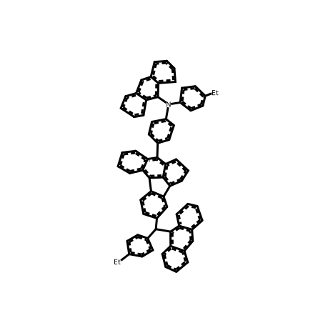 CCc1ccc(C(c2ccc3c(c2)-c2cccc4c(-c5ccc(N(c6ccc(CC)cc6)c6c7ccccc7cc7ccccc67)cc5)c5ccccc5c-3c24)c2c3ccccc3cc3ccccc23)cc1